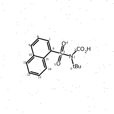 CC(C)(C)N(C(=O)O)S(=O)(=O)c1cccc2ccccc12